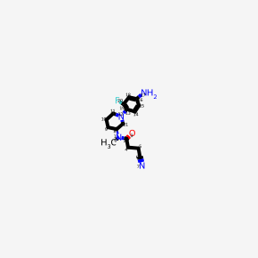 CN(C(=O)CCC#N)[C@H]1CCCN(c2ccc(N)cc2F)C1